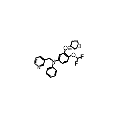 FC(F)Oc1ccc(N(Cc2cccnc2)c2ccccc2)cc1O[C@@H]1CCOC1